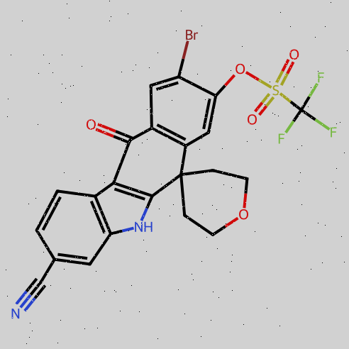 N#Cc1ccc2c3c([nH]c2c1)C1(CCOCC1)c1cc(OS(=O)(=O)C(F)(F)F)c(Br)cc1C3=O